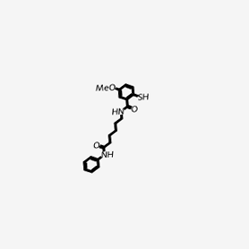 COc1ccc(S)c(C(=O)NCCCCCC(=O)Nc2ccccc2)c1